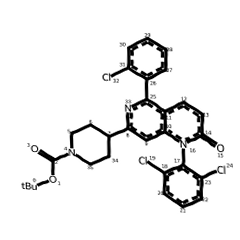 CC(C)(C)OC(=O)N1CCC(c2cc3c(ccc(=O)n3-c3c(Cl)cccc3Cl)c(-c3ccccc3Cl)n2)CC1